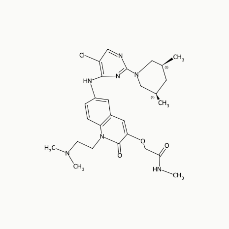 CNC(=O)COc1cc2cc(Nc3nc(N4C[C@H](C)C[C@H](C)C4)ncc3Cl)ccc2n(CCN(C)C)c1=O